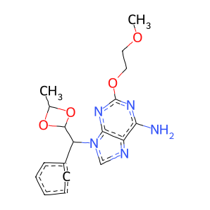 COCCOc1nc(N)c2ncn(C(c3ccccc3)C3OC(C)O3)c2n1